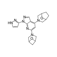 c1cc(-n2ncc3c(N4CC5CCC(C4)O5)cc(N4CC5CC(C4)O5)nc32)n[nH]1